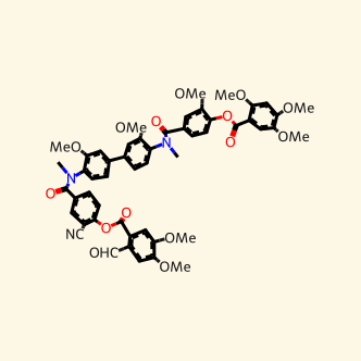 COc1cc(C=O)c(C(=O)Oc2ccc(C(=O)N(C)c3ccc(-c4ccc(N(C)C(=O)c5ccc(OC(=O)c6cc(OC)c(OC)cc6OC)c(OC)c5)c(OC)c4)cc3OC)cc2C#N)cc1OC